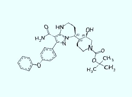 CC(C)(C)OC(=O)N1CC[C@@H]([C@@H]2CCNc3c(C(N)=O)c(-c4ccc(Oc5ccccc5)cc4)nn32)[C@@H](O)C1